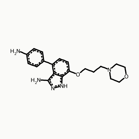 Nc1ccc(-c2ccc(OCCCN3CCOCC3)c3[nH]nc(N)c23)cc1